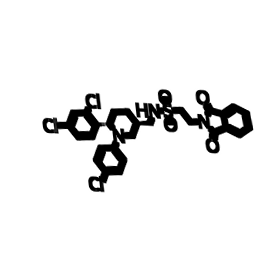 O=C1c2ccccc2C(=O)N1CCS(=O)(=O)NC[C@@H]1CC[C@@H](c2ccc(Cl)cc2Cl)N(c2ccc(Cl)cc2)C1